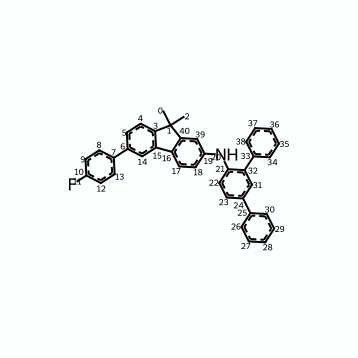 CC1(C)c2ccc(-c3ccc(F)cc3)cc2-c2ccc(Nc3ccc(-c4ccccc4)cc3-c3ccccc3)cc21